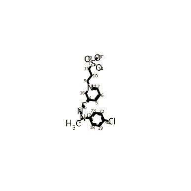 CN(N=C=C1C=CC=[N+](CCCS(=O)(=O)[O-])C1)c1ccc(Cl)cc1